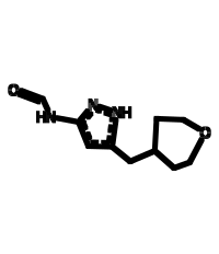 O=CNc1cc(CC2CCOCC2)[nH]n1